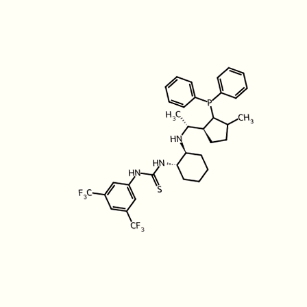 CC1CC[C@@H]([C@@H](C)N[C@H]2CCCC[C@@H]2NC(=S)Nc2cc(C(F)(F)F)cc(C(F)(F)F)c2)C1P(c1ccccc1)c1ccccc1